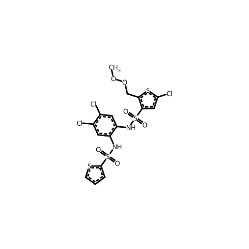 COOCc1sc(Cl)cc1S(=O)(=O)Nc1cc(Cl)c(Cl)cc1NS(=O)(=O)c1cccs1